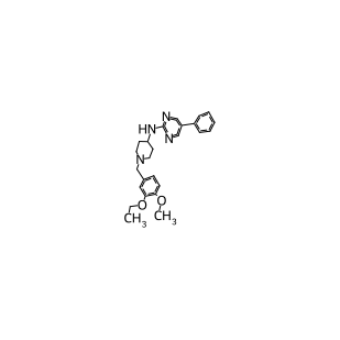 CCOc1cc(CN2CCC(Nc3ncc(-c4ccccc4)cn3)CC2)ccc1OC